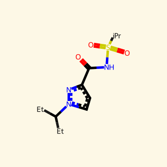 CCC(CC)n1ccc(C(=O)NS(=O)(=O)C(C)C)n1